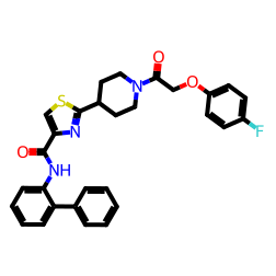 O=C(Nc1ccccc1-c1ccccc1)c1csc(C2CCN(C(=O)COc3ccc(F)cc3)CC2)n1